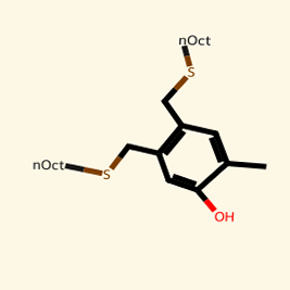 CCCCCCCCSCc1cc(C)c(O)cc1CSCCCCCCCC